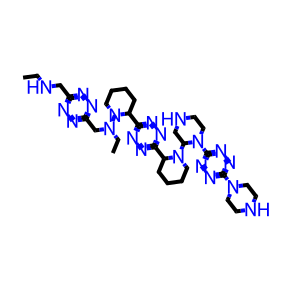 CCNCc1nnc(CN(CC)N2CCCCC2c2nnc(C3CCCCN3C3CNCCN3c3nnc(N4CCNCC4)nn3)nn2)nn1